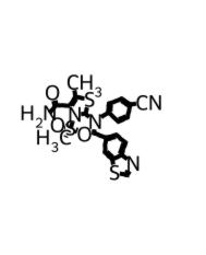 CC1=C(C(N)=O)N(S(C)(=O)=O)C(N(Cc2ccc3ncsc3c2)c2ccc(C#N)cc2)S1